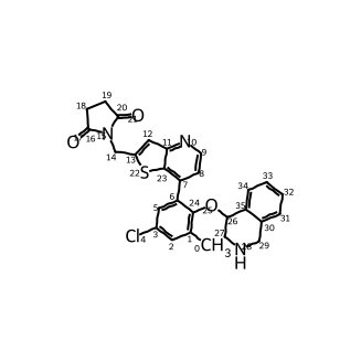 Cc1cc(Cl)cc(-c2ccnc3cc(CN4C(=O)CCC4=O)sc23)c1OC1CNCc2ccccc21